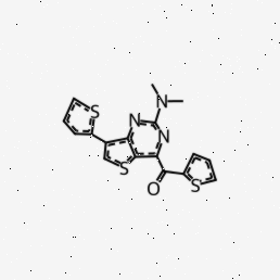 CN(C)c1nc(C(=O)c2cccs2)c2scc(-c3cccs3)c2n1